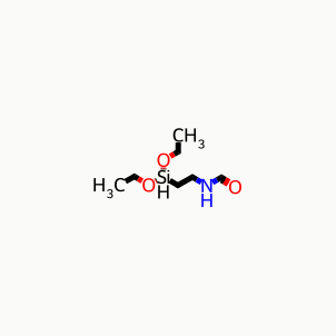 CCO[SiH](CCNC=O)OCC